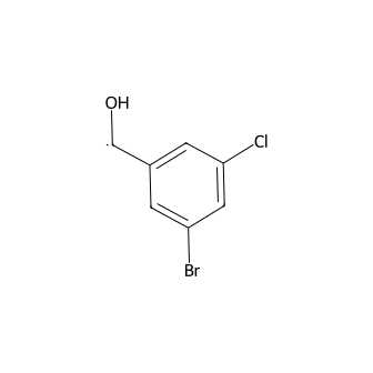 O[CH]c1cc(Cl)cc(Br)c1